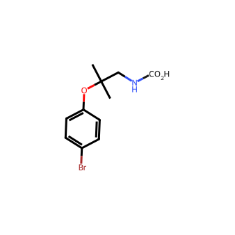 CC(C)(CNC(=O)O)Oc1ccc(Br)cc1